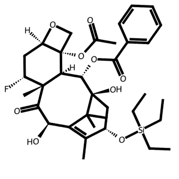 CC[Si](CC)(CC)O[C@H]1C[C@@]2(O)[C@@H](OC(=O)c3ccccc3)[C@@H]3[C@]4(OC(C)=O)CO[C@@H]4C[C@@H](F)[C@@]3(C)C(=O)[C@H](O)C(=C1C)C2(C)C